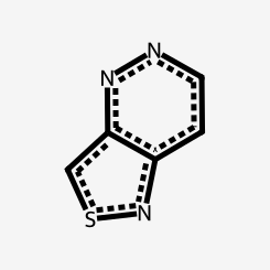 c1cc2nscc2nn1